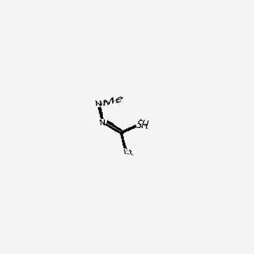 CC/C(S)=N/NC